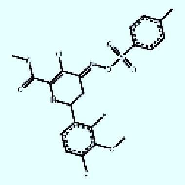 COC(=O)C1=C(Cl)C(=NOS(=O)(=O)c2ccc(C)cc2)CC(c2ccc(Cl)c(OC)c2F)N1